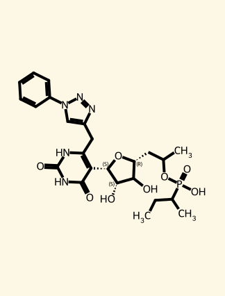 CCC(C)P(=O)(O)OC(C)C[C@H]1O[C@@H](c2c(Cc3cn(-c4ccccc4)nn3)[nH]c(=O)[nH]c2=O)[C@@H](O)C1O